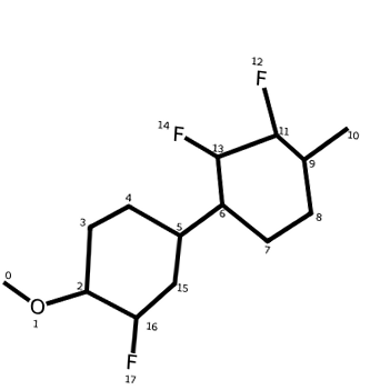 COC1CCC(C2CCC(C)C(F)C2F)CC1F